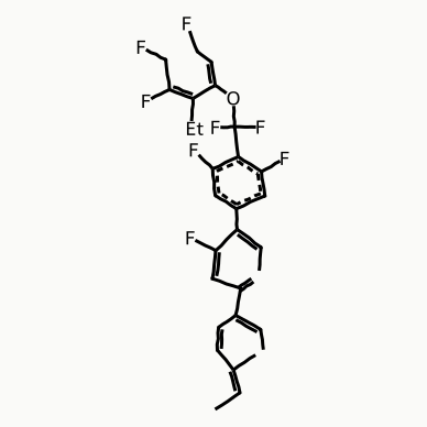 C=C(/C=C(F)\C(=C/C)c1cc(F)c(C(F)(F)OC(=C/CF)/C(CC)=C(/F)CF)c(F)c1)C(/C=C\C(C)=C/C)=C/C